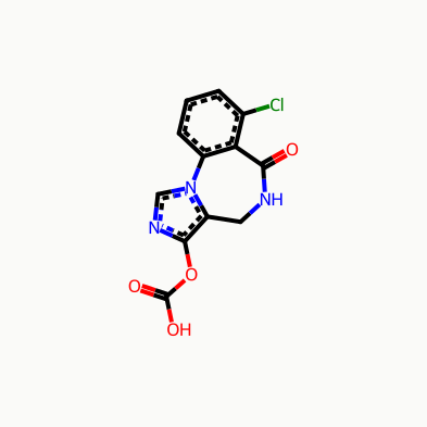 O=C(O)Oc1ncn2c1CNC(=O)c1c(Cl)cccc1-2